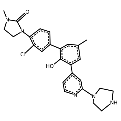 Cc1cc(-c2ccnc(N3CCNCC3)c2)c(O)c(-c2ccc(N3CCN(C)C3=O)c(Cl)c2)c1